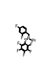 CC(C)N(Cc1ccc(F)cc1F)Sc1c(F)c(F)c(F)c(F)c1F